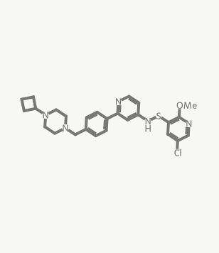 COc1ncc(Cl)cc1SNc1ccnc(-c2ccc(CN3CCN(C4CCC4)CC3)cc2)c1